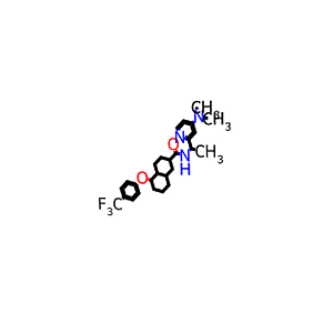 CC(NC(=O)C1CCC2C(CCCC2Oc2ccc(C(F)(F)F)cc2)C1)c1cc(N(C)C)ccn1